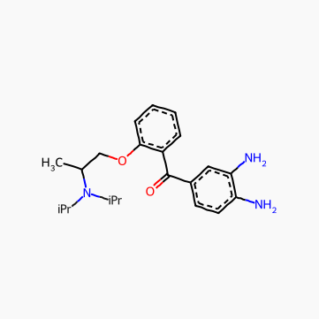 CC(C)N(C(C)C)C(C)COc1ccccc1C(=O)c1ccc(N)c(N)c1